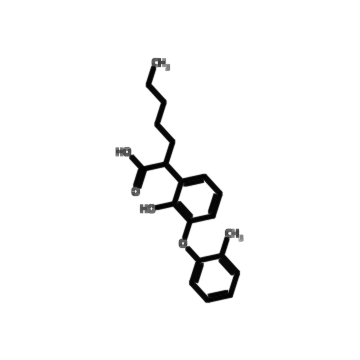 CCCCCC(C(=O)O)c1cccc(Oc2ccccc2C)c1O